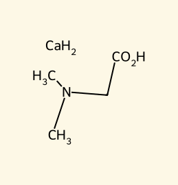 CN(C)CC(=O)O.[CaH2]